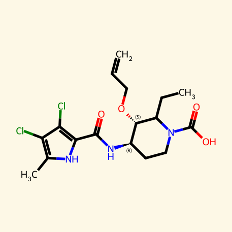 C=CCO[C@@H]1C(CC)N(C(=O)O)CC[C@H]1NC(=O)c1[nH]c(C)c(Cl)c1Cl